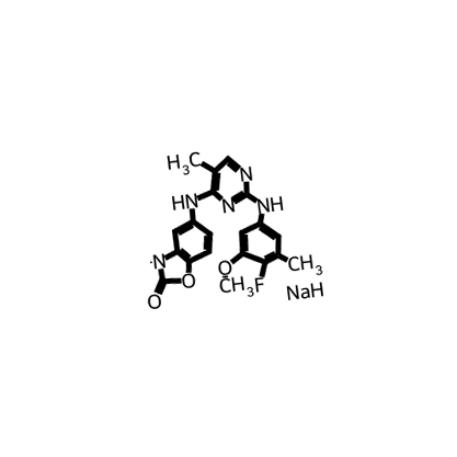 COc1cc(Nc2ncc(C)c(Nc3ccc4c(c3)[N]C(=O)O4)n2)cc(C)c1F.[NaH]